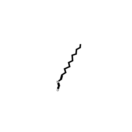 CCCCCCCCCCC=CN=C=O